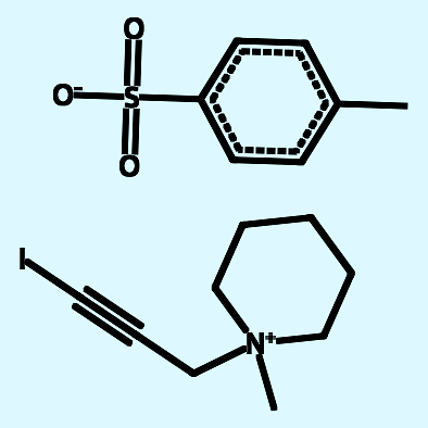 C[N+]1(CC#CI)CCCCC1.Cc1ccc(S(=O)(=O)[O-])cc1